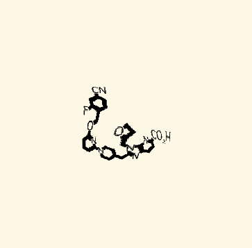 N#Cc1ccc(COc2cccc(N3CCC(Cc4nc5ccc(C(=O)O)nc5n4CC4CCO4)CC3)n2)c(F)c1